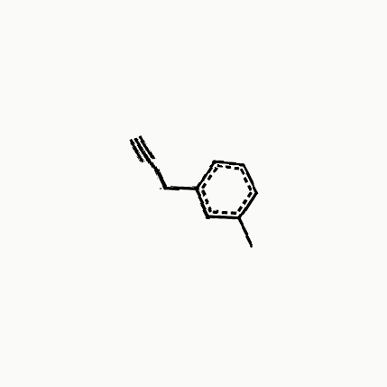 C#C[CH]c1cccc(C)c1